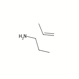 C=CC.CCCN